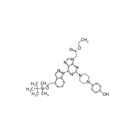 CCOC(=O)Cn1cnc2c(-n3ncc4c(CO[Si](C)(C)C(C)(C)C)cccc43)nc(N3CCN(c4ccc(O)cc4)CC3)nc21